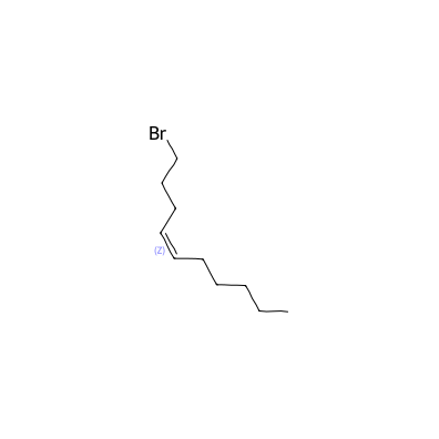 CCCCC/C=C\CCCBr